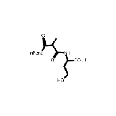 CCCCCC(=O)C(C)C(=O)NC(CCO)C(=O)O